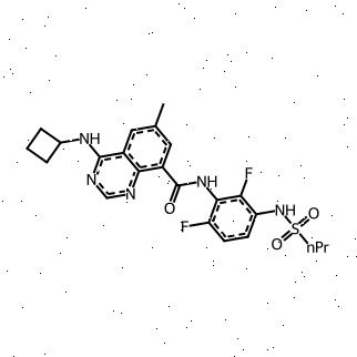 CCCS(=O)(=O)Nc1ccc(F)c(NC(=O)c2cc(C)cc3c(NC4CCC4)ncnc23)c1F